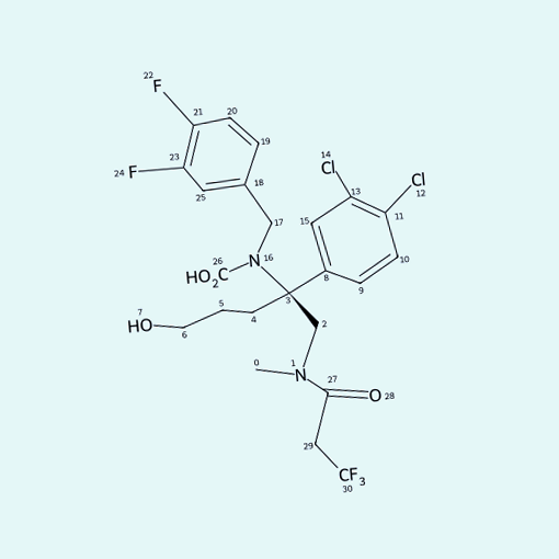 CN(C[C@](CCCO)(c1ccc(Cl)c(Cl)c1)N(Cc1ccc(F)c(F)c1)C(=O)O)C(=O)CC(F)(F)F